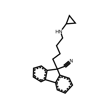 N#CC1(CCCCNC2CC2)c2ccccc2-c2ccccc21